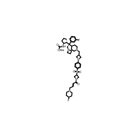 COC(=O)N[C@H]1CCC[C@@H]1[C@](CN1CCC1)(c1cccc(F)c1)C1CCN(CC2CN(c3ccc(S(=O)(=O)C4CN(C(=O)/C=C/CN5CCC(F)CC5)C4)cc3)C2)CC1